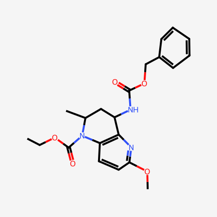 CCOC(=O)N1c2ccc(OC)nc2C(NC(=O)OCc2ccccc2)CC1C